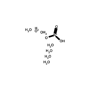 O.O.O.O.O.O.O.O=[N+]([O-])O